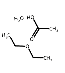 CC(=O)O.CCOCC.O